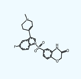 CN1CC=C(c2cn(S(=O)(=O)c3ccc4c(c3)NC(=O)CO4)c3ccc(F)cc23)CC1